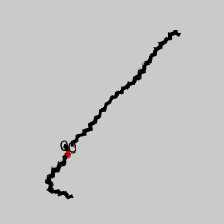 CCCCC/C=C\C/C=C\CCCCCCCC(=O)OCCCCCCCCCCCCCCCCCCCCCCCCCCCCCCCCCCCCCC(C)C